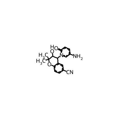 CC1(C)Oc2ccc(C#N)cc2C(n2cc(N)ccc2=O)C1O